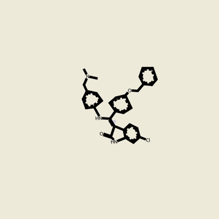 CN(C)Cc1ccc(N/C(=C2\C(=O)Nc3cc(Cl)ccc32)c2ccc(OCc3ccccc3)cc2)cc1